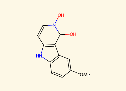 COc1ccc2[nH]c3c(c2c1)C(O)N(O)C=C3